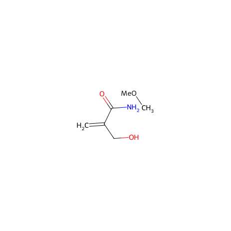 C=C(CO)C(N)=O.COC